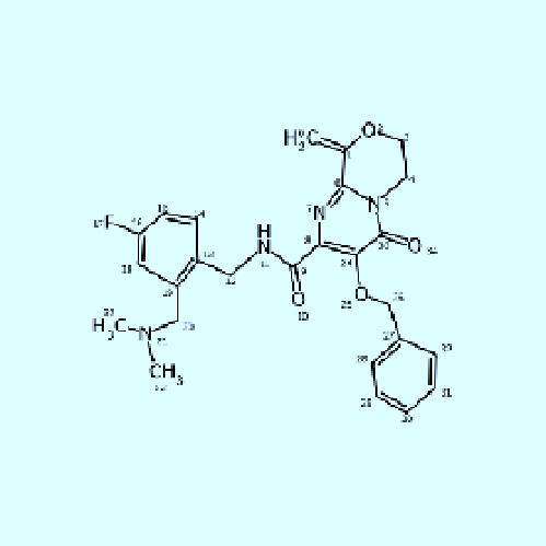 C=C1OCCn2c1nc(C(=O)NCc1ccc(F)cc1CN(C)C)c(OCc1ccccc1)c2=O